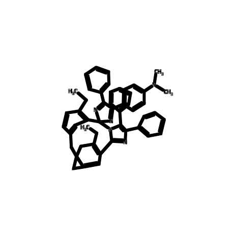 CCC1=C2C=C3CC3(C1)Cc1ccc(CC)c(c1)C1(N=C(c3ccccc3)C(c3ccc(N(C)C)cc3)=N1)n1c2nc(-c2ccccc2)c1-c1ccccc1